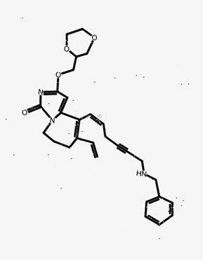 C=CC1=C(/C=C\CC#CCNCc2ccccc2)c2cc(OCC3COCCO3)nc(=O)n2CCC1